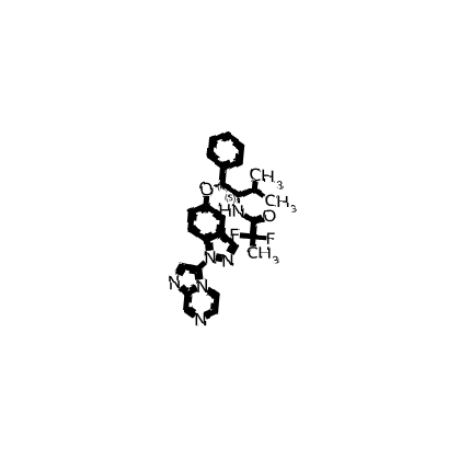 CC(C)[C@H](NC(=O)C(C)(F)F)[C@H](Oc1ccc2c(cnn2-c2cnc3cnccn23)c1)c1ccccc1